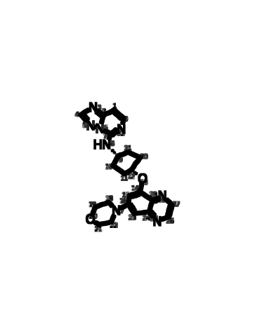 c1cc2ncnn2c(N[C@H]2CC[C@@H](Oc3cc(N4CCOCC4)cc4nccnc34)CC2)n1